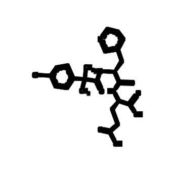 CC(C)(C(=O)N[C@@H](Cc1cccnc1)C(=O)N[C@H](CCC(=O)O)C(=O)O)c1ccc(Cl)cc1